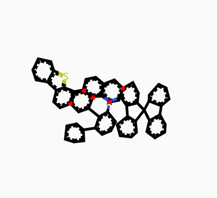 c1ccc(-c2ccccc2-c2c(-c3ccccc3)cccc2N(c2cccc(-c3cccc4c3sc3ccccc34)c2)c2cccc3c2-c2ccccc2C32c3ccccc3-c3ccccc32)cc1